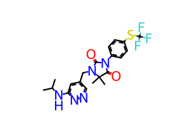 CC(C)Nc1cc(CN2C(=O)N(c3ccc(SC(F)(F)F)cc3)C(=O)C2(C)C)cnn1